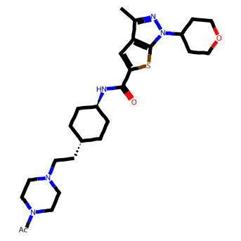 CC(=O)N1CCN(CC[C@H]2CC[C@H](NC(=O)c3cc4c(C)nn(C5CCOCC5)c4s3)CC2)CC1